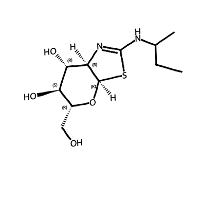 CCC(C)NC1=N[C@@H]2[C@@H](O)[C@H](O)[C@@H](CO)O[C@@H]2S1